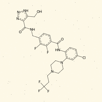 O=C(Nc1ccc(Cl)cc1N1CCN(CCC(F)(F)F)CC1)c1ccc(CNC(=O)c2nn[nH]c2CO)c(F)c1F